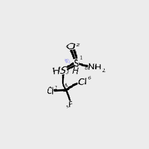 N/[SH](=O)=[SH]\C(F)(Cl)Cl